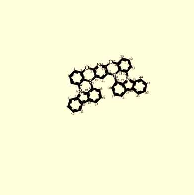 c1cc2c3c(c1)-n1c4ccccc4c4cccc(c41)B3c1cc3c(nc1O2)Oc1cccc2c1B3c1cccc3c4ccccc4n-2c13